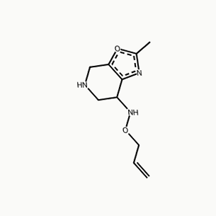 C=CCONC1CNCc2oc(C)nc21